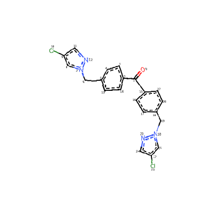 O=C(c1ccc(Cn2cc(Cl)cn2)cc1)c1ccc(Cn2cc(Cl)cn2)cc1